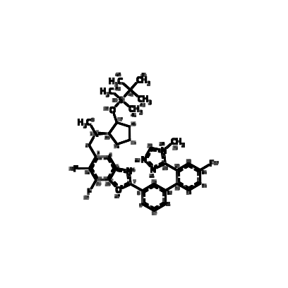 CN(Cc1cc2nc(-c3cccc(-c4ccc(F)cc4-c4nncn4C)c3)oc2c(F)c1F)[C@@H]1CCCC1O[Si](C)(C)C(C)(C)C